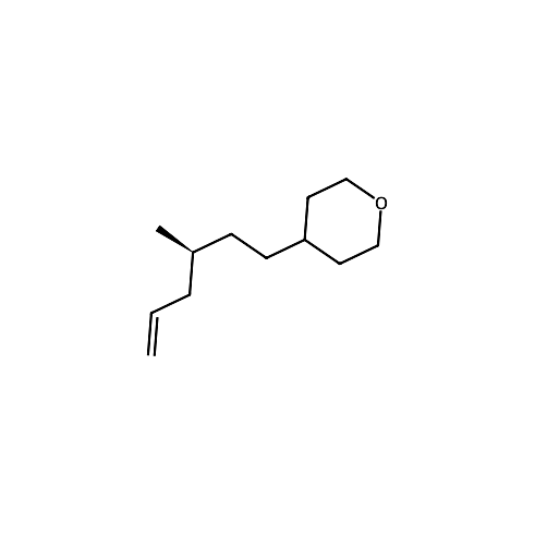 C=CC[C@@H](C)CCC1CCOCC1